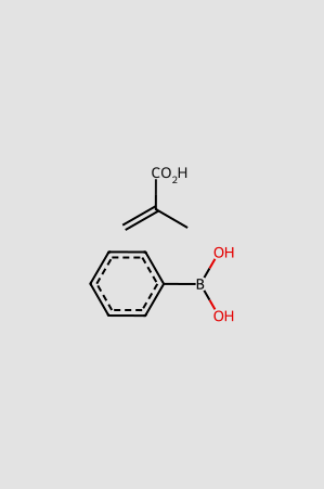 C=C(C)C(=O)O.OB(O)c1ccccc1